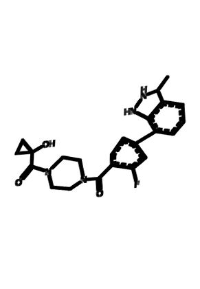 CC1NNc2c(-c3ccc(C(=O)N4CCN(C(=O)C5(O)CC5)CC4)c(F)c3)cccc21